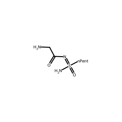 CCCCCS(N)(=O)=NC(=O)CN